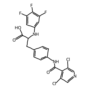 O=C(Nc1ccc(CC(Nc2cc(F)c(F)c(F)c2)C(=O)O)cc1)c1c(Cl)cncc1Cl